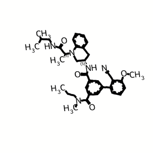 CCCN(C)C(=O)c1cc(C(=O)N[C@H]2Cc3ccccc3N([C@@H](C)C(=O)NCC(C)C)C2)cc(-c2cccc(OC)c2C#N)c1